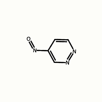 O=Nc1ccnnc1